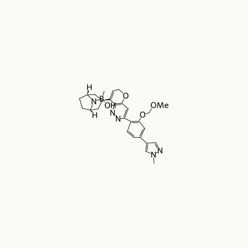 COCOc1cc(-c2cnn(C)c2)ccc1-c1cc2c(nn1)C([C@@H]1C[C@H]3CC[C@@H](C1)N3B(C)O)=CCO2